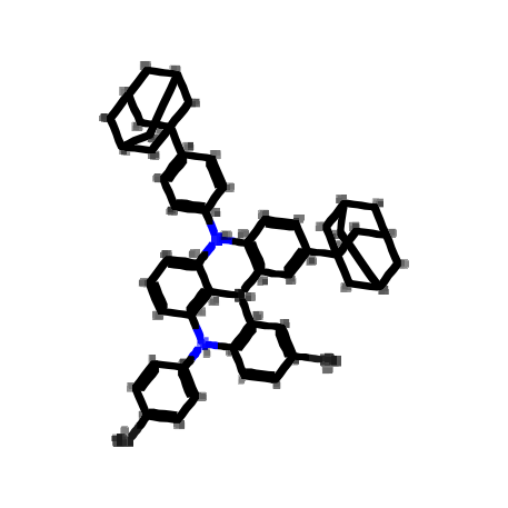 CC(C)(C)c1ccc(N2c3ccc(C(C)(C)C)cc3B3c4cc(C56CC7CC(CC(C7)C5)C6)ccc4N(c4ccc(C56CC7CC(CC(C7)C5)C6)cc4)c4cccc2c43)cc1